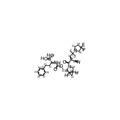 CC(C)(C=C(C#N)C(=O)N1C[C@@H]2C[C@@H]2[C@@H]1COC(=O)N[C@@H](CCc1ccccc1)B(O)O)N1CCC(F)(F)C1